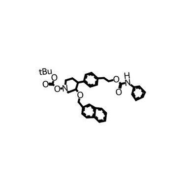 CC(C)(C)OC(=O)ON1CCC(c2ccc(CCOC(=O)Nc3ccccc3)cc2)C(OCc2ccc3ccccc3c2)C1